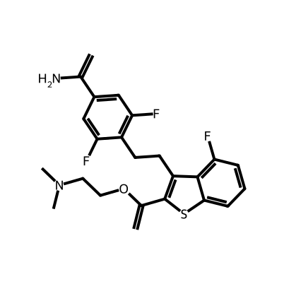 C=C(N)c1cc(F)c(CCc2c(C(=C)OCCN(C)C)sc3cccc(F)c23)c(F)c1